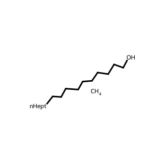 C.CCCCCCCCCCCCCCCCCO